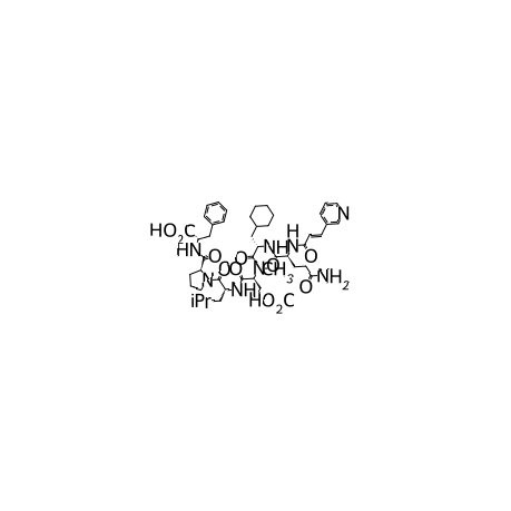 CC(C)C[C@H](NC(=O)[C@H](CC(=O)O)N(C)C(=O)[C@H](CC1CCCCC1)NC(=O)[C@H](CCC(N)=O)NC(=O)/C=C/c1cccnc1)C(=O)N1CCC[C@H]1C(=O)N[C@@H](Cc1ccccc1)C(=O)O